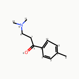 Cc1ccc(C(=O)CCN(C)C)cc1